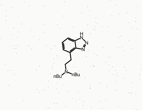 CCCCN(CCCC)CCc1cccc2[nH]nnc12